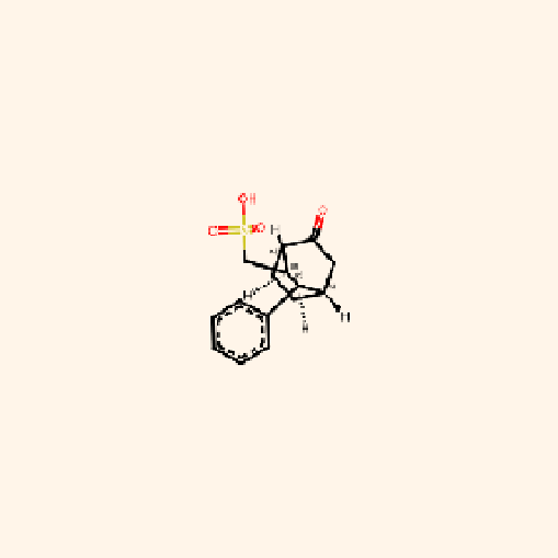 O=C1C[C@@H]2CC[C@H]1[C@H](CS(=O)(=O)O)[C@@H]2c1ccccc1